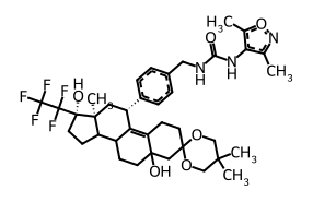 Cc1noc(C)c1NC(=O)NCc1ccc([C@H]2C[C@@]3(C)C(CC[C@@]3(O)C(F)(F)C(F)(F)F)C3CCC4(O)CC5(CCC4=C32)OCC(C)(C)CO5)cc1